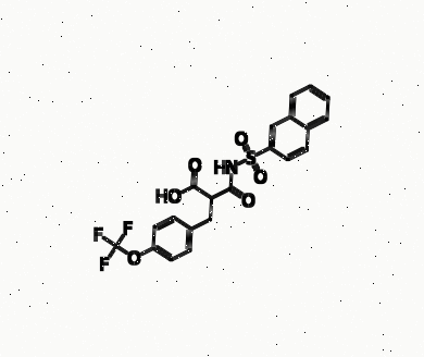 O=C(O)C(Cc1ccc(OC(F)(F)F)cc1)C(=O)NS(=O)(=O)c1ccc2ccccc2c1